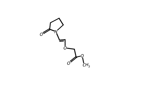 COC(=O)COC=CN1CCCC1=O